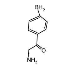 Bc1ccc(C(=O)CN)cc1